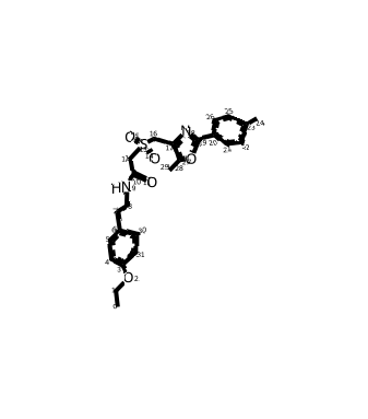 CCOc1ccc(CCNC(=O)CS(=O)(=O)Cc2nc(-c3ccc(C)cc3)oc2C)cc1